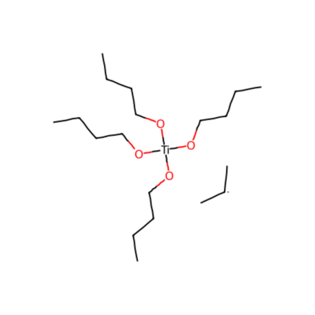 CCCC[O][Ti]([O]CCCC)([O]CCCC)[O]CCCC.C[CH]C